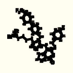 CCN(CC)CCCCc1nnc(Cn2c(SCc3ccc(F)cc3)nc(=O)c3c2CCC3)n1Cc1ccc(-c2ccc(C(F)(F)F)cc2)cc1